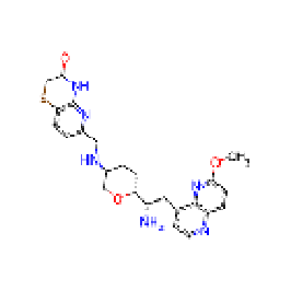 COc1ccc2nccc(C[C@H](N)[C@H]3CC[C@H](NCc4ccc5c(n4)NC(=O)CS5)CO3)c2n1